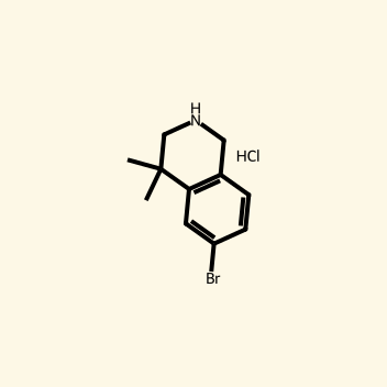 CC1(C)CNCc2ccc(Br)cc21.Cl